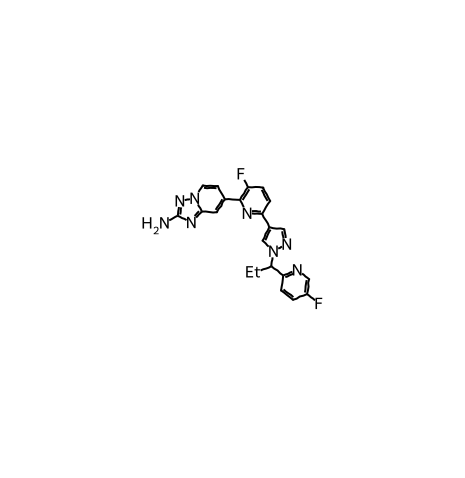 CCC(c1ccc(F)cn1)n1cc(-c2ccc(F)c(-c3ccn4nc(N)nc4c3)n2)cn1